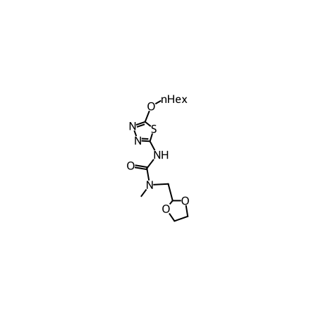 CCCCCCOc1nnc(NC(=O)N(C)CC2OCCO2)s1